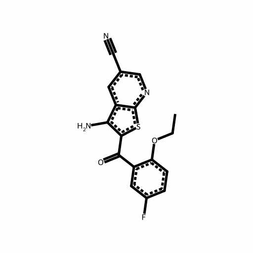 CCOc1ccc(F)cc1C(=O)c1sc2ncc(C#N)cc2c1N